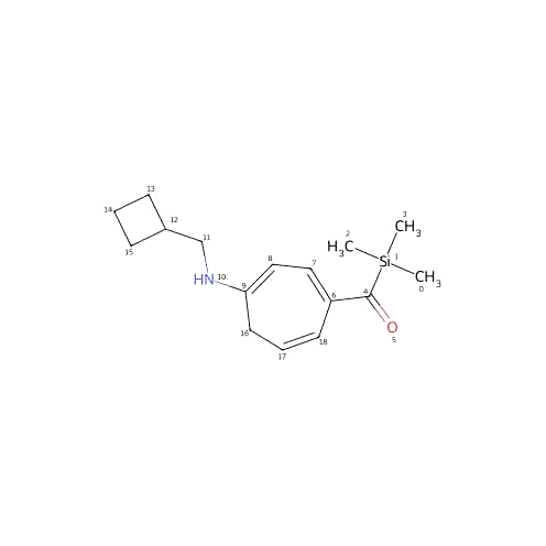 C[Si](C)(C)C(=O)C1=CC=C(NCC2CCC2)CC=C1